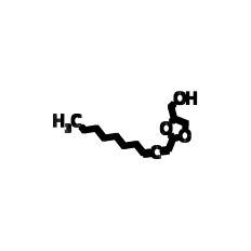 CCCCCCCC=C=CC1OCC(CO)O1